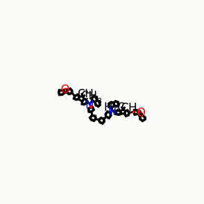 CC1(C)c2cc(-c3ccc4oc5ccccc5c4c3)ccc2-c2ccc(N(c3ccc(-c4cccc(-c5cccc(-c6ccc(N(c7ccc8c(c7)C(C)(C)c7cc(-c9ccc%10oc%11ccccc%11c%10c9)ccc7-8)c7cccc8ccccc78)cc6)c5)c4)cc3)c3cccc4ccccc34)cc21